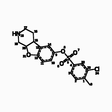 Cc1ccc(S(=O)(=O)Oc2ccc3c(c2)C2CCNCC2O3)cc1Cl